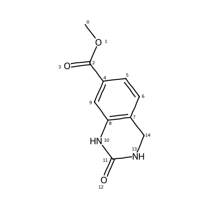 COC(=O)c1ccc2c(c1)NC(=O)NC2